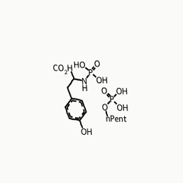 CCCCCOP(=O)(O)O.O=C(O)C(Cc1ccc(O)cc1)NP(=O)(O)O